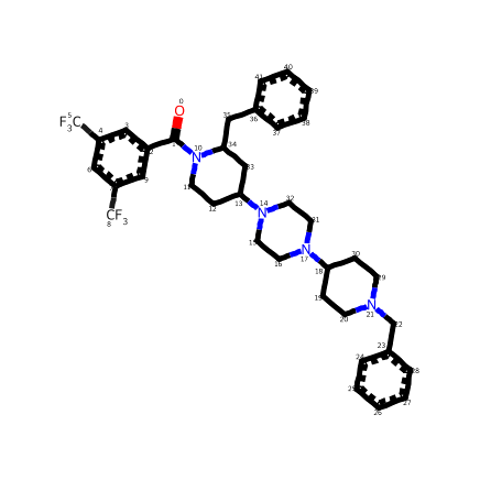 O=C(c1cc(C(F)(F)F)cc(C(F)(F)F)c1)N1CCC(N2CCN(C3CCN(Cc4ccccc4)CC3)CC2)CC1Cc1ccccc1